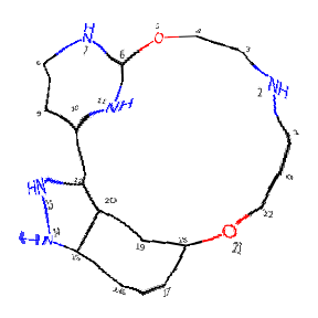 C1CNCCOC2NCCC(N2)C2NNC3CCC(CC32)OC1